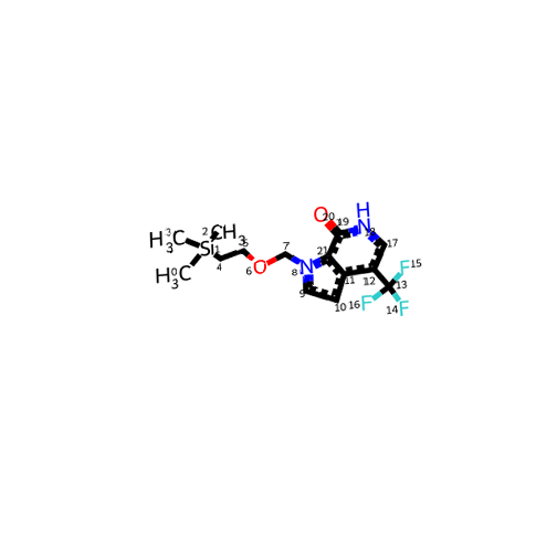 C[Si](C)(C)CCOCn1ccc2c(C(F)(F)F)c[nH]c(=O)c21